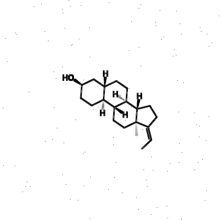 C/C=C1/CC[C@H]2[C@@H]3CC[C@H]4C[C@H](O)CC[C@@H]4[C@H]3CC[C@]12C